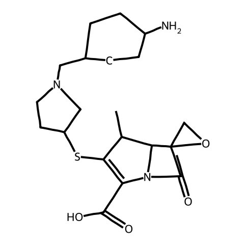 CC1C(SC2CCN(CC3CCC(N)CC3)C2)=C(C(=O)O)N2C(=O)C3(CO3)C12